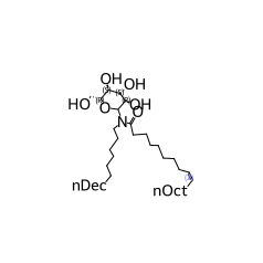 CCCCCCCC/C=C\CCCCCCCC(=O)N(CCCCCCCCCCCCCCCC)C1O[C@H](CO)[C@@H](O)[C@H](O)[C@H]1O